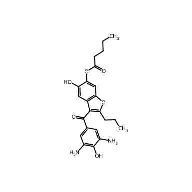 CCCCC(=O)Oc1cc2oc(CCC)c(C(=O)c3cc(N)c(O)c(N)c3)c2cc1O